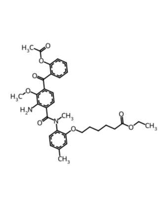 CCOC(=O)CCCCCOc1cc(C)ccc1N(C)C(=O)c1ccc(C(=O)c2ccccc2OC(C)=O)c(OC)c1N